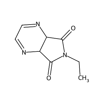 CCN1C(=O)C2N=CC=NC2C1=O